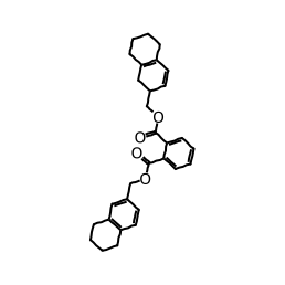 O=C(OCc1ccc2c(c1)CCCC2)c1ccccc1C(=O)OCC1C=CC2=C(CCCC2)C1